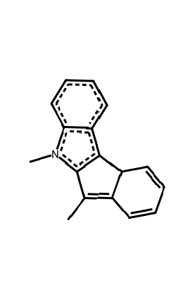 CC1=C2C=CC=CC2c2c1n(C)c1ccccc21